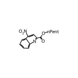 CCCCCOC(=O)c1cc([N+](=O)[O-])c2ccccc2n1